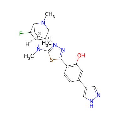 CN1C[C@@]2(C)CCC1C(F)[C@@H]2N(C)c1nnc(-c2ccc(-c3cn[nH]c3)cc2O)s1